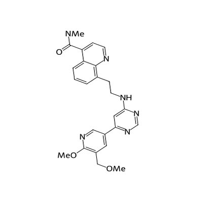 CNC(=O)c1ccnc2c(CCNc3cc(-c4cnc(OC)c(COC)c4)ncn3)cccc12